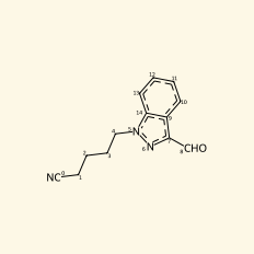 N#CCCCCn1nc(C=O)c2ccccc21